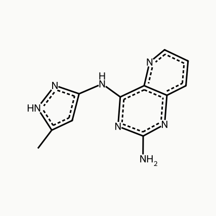 Cc1cc(Nc2nc(N)nc3cccnc23)n[nH]1